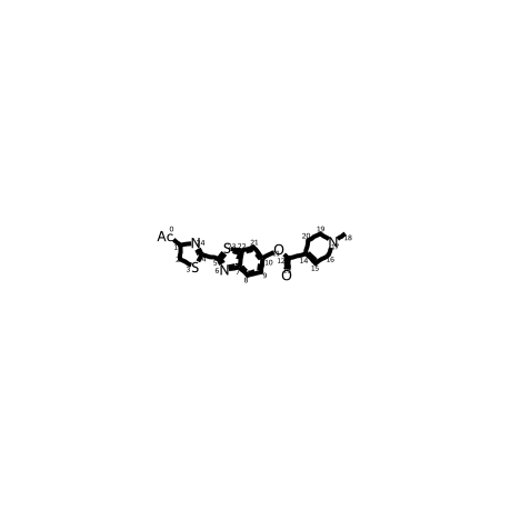 CC(=O)C1CSC(c2nc3ccc(OC(=O)C4=CCN(C)CC4)cc3s2)=N1